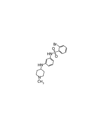 CN1CCC(Nc2cccc(NS(=O)(=O)c3ccccc3Br)c2)CC1